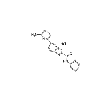 Cl.Nc1cccc(-c2ccc3nc(C(=O)Nc4ccccn4)cn3c2)n1